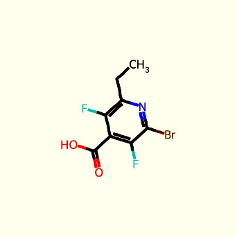 CCc1nc(Br)c(F)c(C(=O)O)c1F